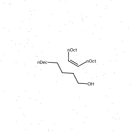 CCCCCCCCCCCCCCO.[CH2]CCCCCCC/C=C\CCCCCCCC